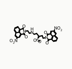 O=C1c2cccc3cc([N+](=O)[O-])cc(c23)C(=O)N1CCNCCC(CCN1C(=O)c2cccc3cc([N+](=O)[O-])cc(c23)C1=O)=S(=O)=O